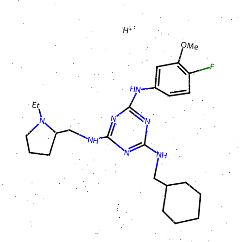 CCN1CCCC1CNc1nc(NCC2CCCCC2)nc(Nc2ccc(F)c(OC)c2)n1.[H+]